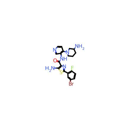 Nc1sc(-c2cc(Br)ccc2F)nc1C(=O)Nc1cnccc1N1CCCC(N)C1